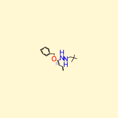 C=C/C=C(\NNCC(C)(C)C)OCc1ccccc1